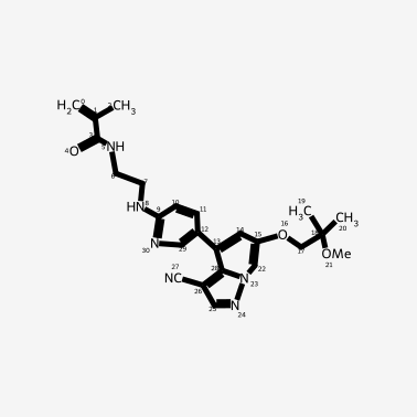 C=C(C)C(=O)NCCNc1ccc(-c2cc(OCC(C)(C)OC)cn3ncc(C#N)c23)cn1